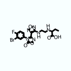 CCC(NCCNc1nonc1-c1noc(=O)n1-c1ccc(F)c(Br)c1)C(=O)O